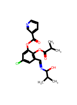 CC(C)C(=O)Oc1c(/C=N/C(O)C(C)C)cc(Cl)cc1OC(=O)c1cccnc1